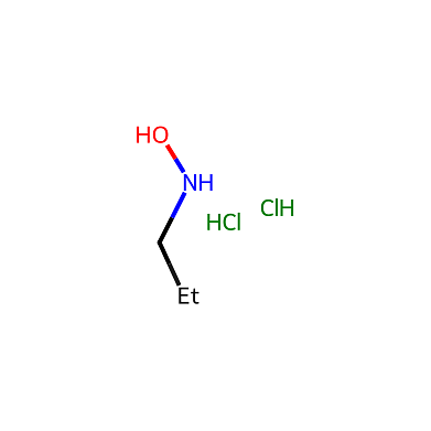 CCCNO.Cl.Cl